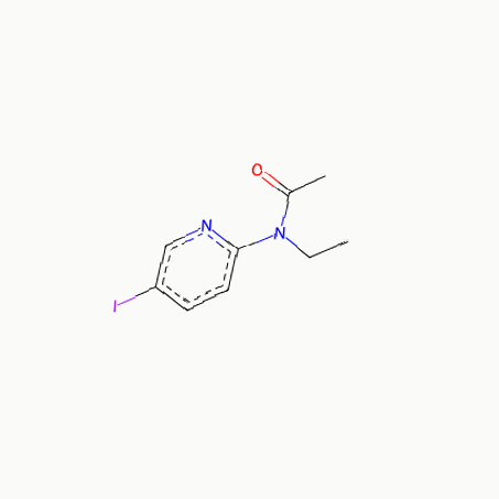 CCN(C(C)=O)c1ccc(I)cn1